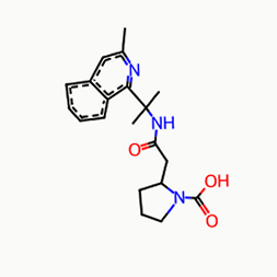 Cc1cc2ccccc2c(C(C)(C)NC(=O)CC2CCCN2C(=O)O)n1